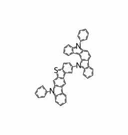 c1ccc(-n2c3ccccc3c3cc4c(cc32)sc2ccc(-n3c5ccccc5c5ccc6c(c7ccccc7n6-c6ccccc6)c53)cc24)cc1